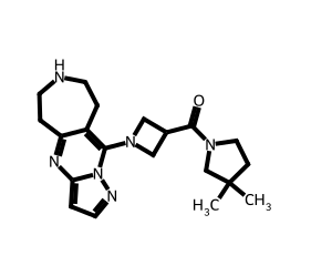 CC1(C)CCN(C(=O)C2CN(c3c4c(nc5ccnn35)CCNCC4)C2)C1